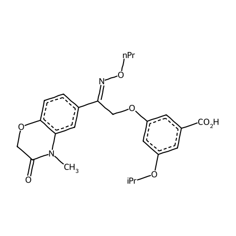 CCCO/N=C(\COc1cc(OC(C)C)cc(C(=O)O)c1)c1ccc2c(c1)N(C)C(=O)CO2